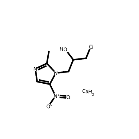 Cc1ncc([N+](=O)[O-])n1CC(O)CCl.[CaH2]